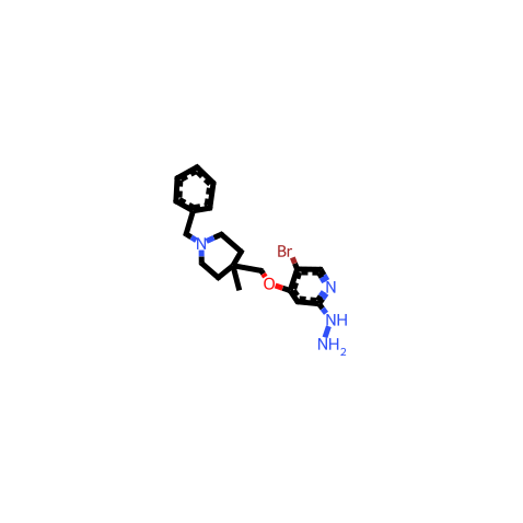 CC1(COc2cc(NN)ncc2Br)CCN(Cc2ccccc2)CC1